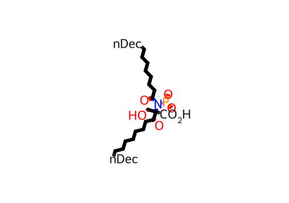 CCCCCCCCCCCCCCCCCC(=O)N(P(=O)=O)C(CO)(C(=O)O)C(=O)CCCCCCCCCCCCCCCCC